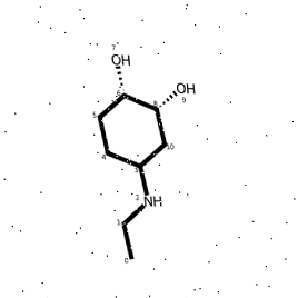 CCNC1CC[C@H](O)[C@H](O)C1